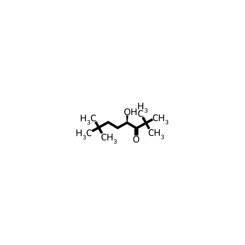 CC(C)(C)CC[C@@H](O)C(=O)C(C)(C)C